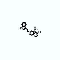 CCN1CCOC2(CCN(CCc3c[nH]c4ccccc34)CC2)C1C